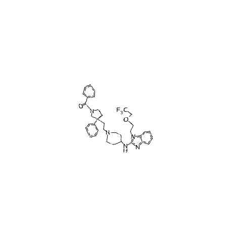 O=C(c1ccccc1)N1CCC(CCN2CCC(Nc3nc4ccccc4n3CCOCC(F)(F)F)CC2)(c2ccccc2)C1